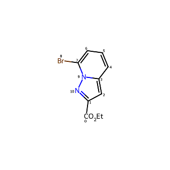 CCOC(=O)c1cc2cccc(Br)n2n1